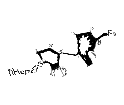 CCCCCCC[Si@H]1CC[C@@H](c2ccc(F)cc2)CC1